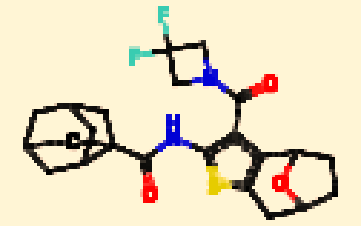 O=C(c1c(NC(=O)C23CC4CC(CC2C4)C3)sc2c1C1CCC(C2)O1)N1CC(F)(F)C1